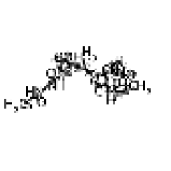 CSCC(=O)NCCNC(=O)C[C@@H]1C[C@@]2(CO2)[C@H](O)[C@@H](/C=C/C(C)=C/C[C@@H]2O[C@H](C)[C@H](NC(=O)/C=C\[C@H](C)OC(=O)N3CCCCC3)C[C@@H]2C)O1